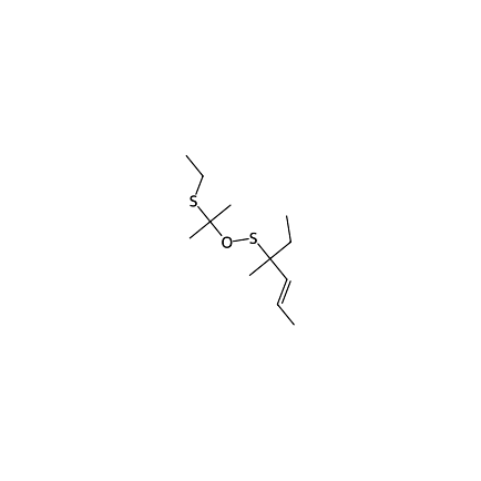 CC=CC(C)(CC)SOC(C)(C)SCC